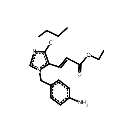 CCCC.CCOC(=O)C=Cc1c(Cl)ncn1Cc1ccc(N)cc1